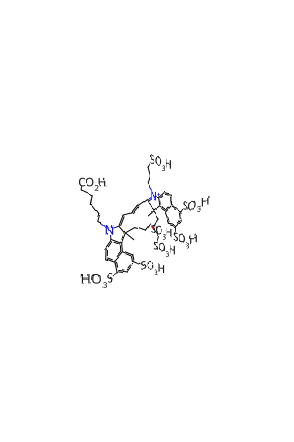 CC1(CCCS(=O)(=O)O)C(/C=C/C=C2/N(CCCCCC(=O)O)c3ccc4c(S(=O)(=O)O)cc(S(=O)(=O)O)cc4c3C2(C)CCCS(=O)(=O)O)=[N+](CCCS(=O)(=O)O)c2ccc3c(S(=O)(=O)O)cc(S(=O)(=O)O)cc3c21